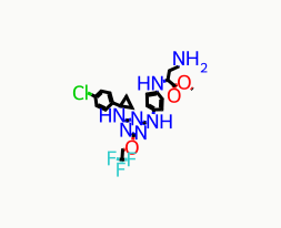 COC(=O)C(CCN)Nc1ccc(Nc2nc(NC3(c4ccc(Cl)cc4)CC3)nc(OCC(F)(F)F)n2)cc1